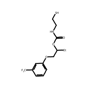 CCC(COc1cccc(C(F)(F)F)c1)OC(=O)NCCS